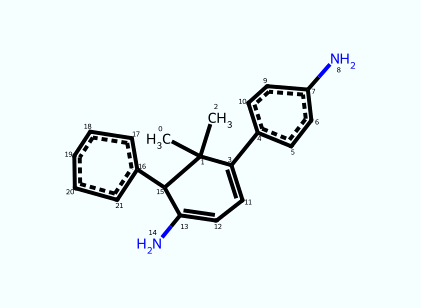 CC1(C)C(c2ccc(N)cc2)=CC=C(N)C1c1ccccc1